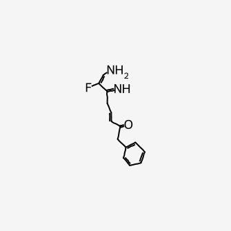 N=C(C/C=C/C(=O)Cc1ccccc1)/C(F)=C\N